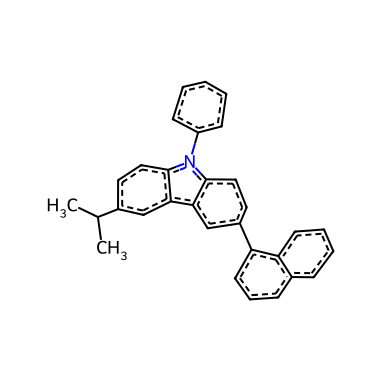 CC(C)c1ccc2c(c1)c1cc(-c3cccc4ccccc34)ccc1n2-c1ccccc1